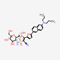 CCCN(CCC)c1ccc2cc(-c3ccc(/C(C)=C(\C#N)S(=O)(=O)N[C@H]4C(CSO)O[C@H](CO)[C@@H](O)[C@@H]4O)o3)ccc2c1